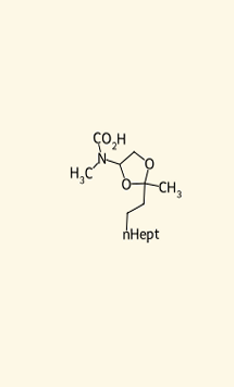 CCCCCCCCCC1(C)OCC(N(C)C(=O)O)O1